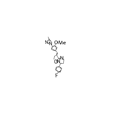 COc1cc(/C=C2\CCON3C2=NCCC3c2ccc(F)cc2)ccc1-n1cnc(C)c1